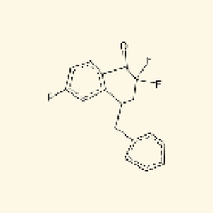 O=C1c2ccc(F)cc2C(Cc2ccccc2)CC1(F)F